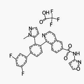 Cn1nccc1-c1cc(-c2cc(F)cc(F)c2)ccc1-c1nccc2cc(S(=O)(=O)Nc3ccon3)ccc12.O=C(O)C(F)(F)F